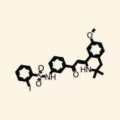 COc1ccc2c(c1)/C(=C/C(=O)c1cccc(NS(=O)(=O)c3ccccc3I)c1)NC(C)(C)C2